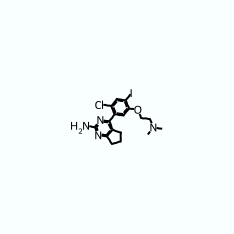 CN(C)CCOc1cc(-c2nc(N)nc3c2CCC3)c(Cl)cc1I